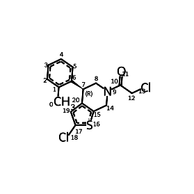 Cc1ccccc1[C@H]1CN(C(=O)CCl)Cc2sc(Cl)cc21